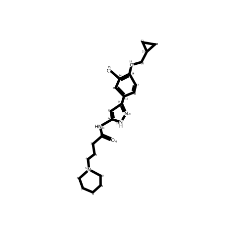 O=C(CCCN1CCCCC1)Nc1cc(-c2ccc(OCC3CC3)c(Cl)c2)n[nH]1